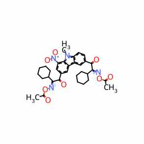 CC(=O)O/N=C(/C(=O)c1ccc2c(c1)c1cc(C(=O)/C(=N/OC(C)=O)C3CCCCC3)cc([N+](=O)[O-])c1n2C)C1CCCCC1